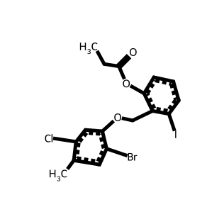 CCC(=O)Oc1cccc(I)c1COc1cc(Cl)c(C)cc1Br